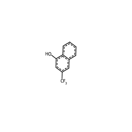 Oc1cc(C(F)(F)F)cc2ccccc12